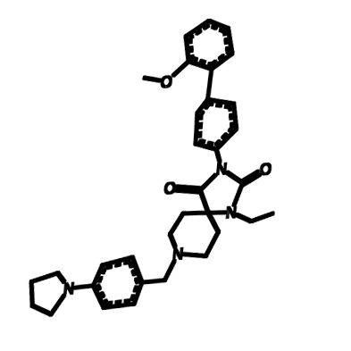 CCN1C(=O)N(c2ccc(-c3ccccc3OC)cc2)C(=O)C12CCN(Cc1ccc(N3CCCC3)cc1)CC2